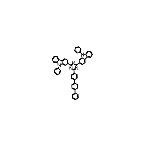 c1ccc(-c2ccc(-c3ccc(-c4nc(-c5ccc6c7ccccc7n(-c7ccccc7)c6c5)nc(-c5ccc6c7ccccc7n(-c7ccccc7)c6c5)n4)cc3)cc2)cc1